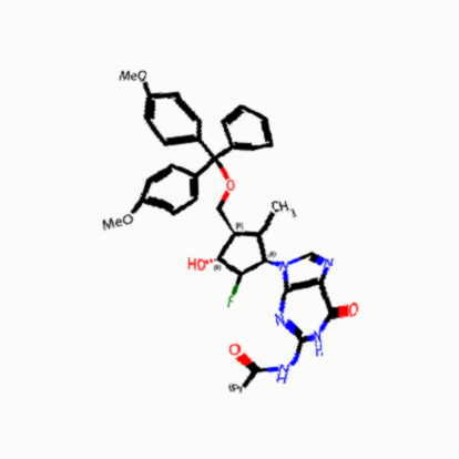 COc1ccc(C(OC[C@H]2C(C)[C@@H](n3cnc4c(=O)[nH]c(NC(=O)C(C)C)nc43)C(F)[C@@H]2O)(c2ccccc2)c2ccc(OC)cc2)cc1